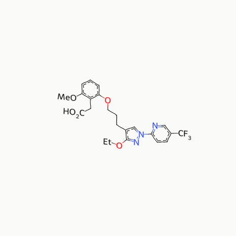 CCOc1nn(-c2ccc(C(F)(F)F)cn2)cc1CCCOc1cccc(OC)c1CC(=O)O